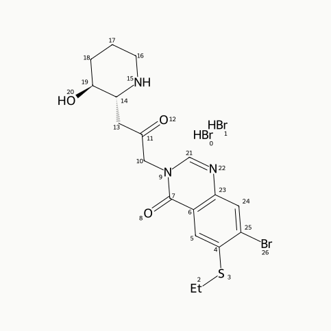 Br.Br.CCSc1cc2c(=O)n(CC(=O)C[C@H]3NCCC[C@@H]3O)cnc2cc1Br